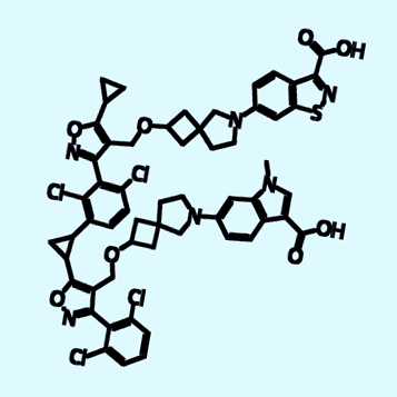 Cn1cc(C(=O)O)c2ccc(N3CCC4(CC(OCc5c(-c6c(Cl)cccc6Cl)noc5C5CC5c5ccc(Cl)c(-c6noc(C7CC7)c6COC6CC7(CCN(c8ccc9c(C(=O)O)nsc9c8)C7)C6)c5Cl)C4)C3)cc21